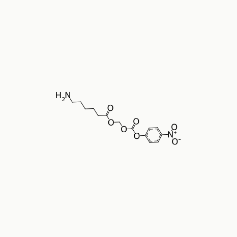 NCCCCCC(=O)OCOC(=O)Oc1ccc([N+](=O)[O-])cc1